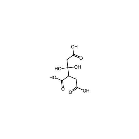 O=C(O)CC(C(=O)O)C(O)(O)CC(=O)O